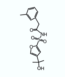 Cc1cccc(CC(=O)NS(=O)(=O)c2cc(C(C)(C)O)co2)c1